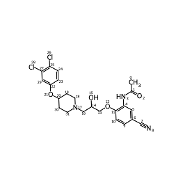 CC(=O)Nc1cc(C#N)ccc1OCC(O)CN1CCC(Oc2ccc(Cl)c(Cl)c2)CC1